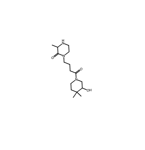 CC1NCCN(CCCC(=O)N2CCC(C)(C)C(O)C2)C1=O